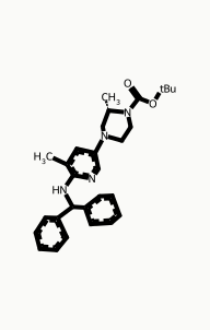 Cc1cc(N2CCN(C(=O)OC(C)(C)C)[C@@H](C)C2)cnc1NC(c1ccccc1)c1ccccc1